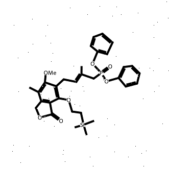 COc1c(C)c2c(c(OCC[Si](C)(C)C)c1C/C=C(\C)CP(=O)(Oc1ccccc1)Oc1ccccc1)C(=O)OC2